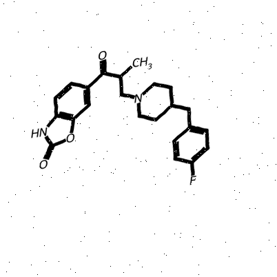 CC(CN1CCC(Cc2ccc(F)cc2)CC1)C(=O)c1ccc2[nH]c(=O)oc2c1